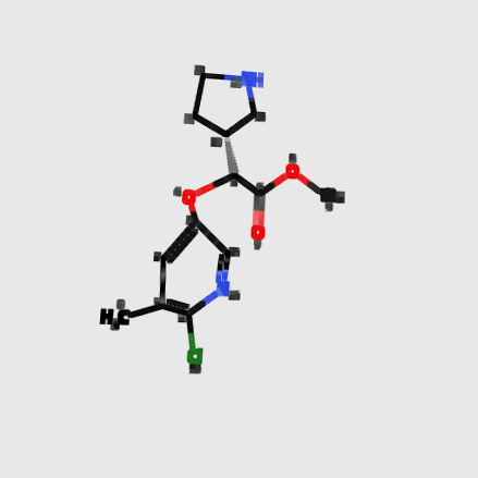 Cc1cc(OC(C(=O)OC(C)(C)C)[C@@H]2CCNC2)cnc1Cl